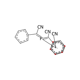 N#C[C](c1ccccc1)/P(=C(\C#N)c1ccccc1)=C(/C#N)c1ccccc1